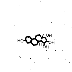 C[C@]12CCC3c4ccc(O)cc4CC[C@H]3C1C(O)C(O)[C@@H]2O